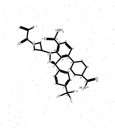 C=C(F)C(=O)N1CC(n2nc(-c3ccc(C(F)(F)F)cc3)c3c(C4CCC(C(N)=O)CC4)ccc(C(N)=O)c32)C1